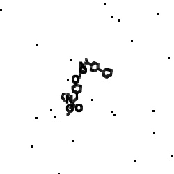 CCOC(=O)C(Cc1ccc(OCCON=C(C)c2ccc(-c3ccccc3)cc2)cc1)N1CCCC1